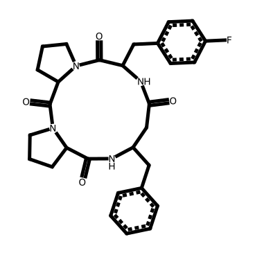 O=C1CC(Cc2ccccc2)NC(=O)C2CCCN2C(=O)C2CCCN2C(=O)C(Cc2ccc(F)cc2)N1